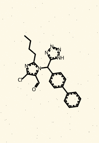 CCCCc1nc(Cl)c(C=O)n1C(c1ccc(-c2ccccc2)cc1)c1nnn[nH]1